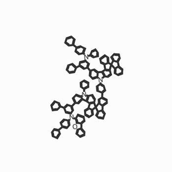 c1ccc(-c2ccc(N(c3ccccc3)c3cc(-c4ccccc4)cc(-c4ccc5c(c4)c4c6c(ccc4n5-c4ccc(-c5ccc7c(c5)C5(c8ccccc8-7)c7ccccc7-c7c5ccc5c7c7cc(-c8cc(-c9ccccc9)cc(N(c9ccc(-c%10ccccc%10)cc9)c9cccc%10c9oc9ccccc9%10)c8)ccc7n5-c5ccccc5)cc4)C4(c5ccccc5-c5ccccc54)c4ccccc4-6)c3)cc2)cc1